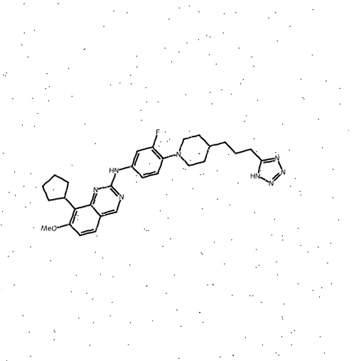 COc1ccc2cnc(Nc3ccc(N4CCC(CCCc5nnn[nH]5)CC4)c(F)c3)nc2c1C1CCCC1